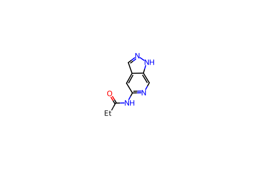 CCC(=O)Nc1cc2cn[nH]c2cn1